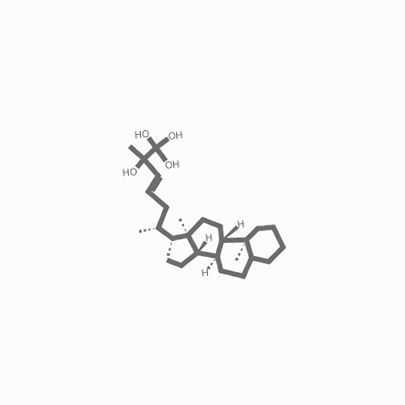 C[C@H](CC=CC(C)(O)C(O)(O)O)[C@H]1CC[C@H]2[C@@H]3CCC4CCCC[C@]4(C)[C@H]3CC[C@]12C